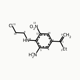 C=C(CC)c1cc(N)c(NCCCl)c([N+](=O)[O-])c1